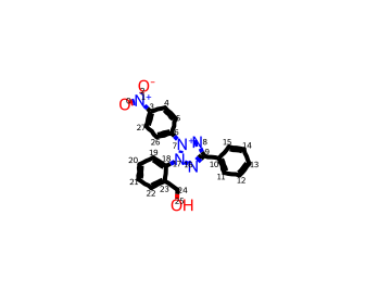 O=[N+]([O-])c1ccc(-[n+]2nc(-c3ccccc3)nn2-c2ccccc2CO)cc1